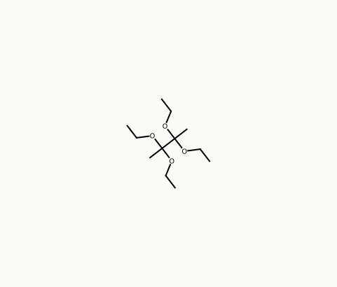 CCOC(C)(OCC)C(C)(OCC)OCC